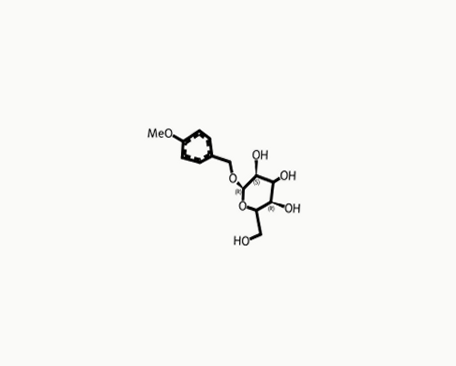 COc1ccc(CO[C@@H]2OC(CO)[C@H](O)C(O)[C@@H]2O)cc1